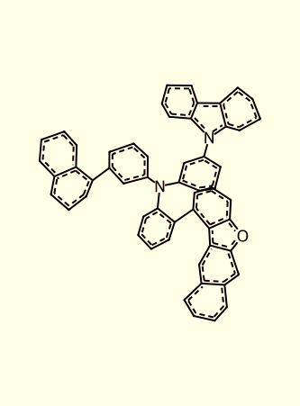 c1cc(-c2cccc3ccccc23)cc(N(c2cccc(-n3c4ccccc4c4ccccc43)c2)c2ccccc2-c2cccc3oc4cc5ccccc5cc4c23)c1